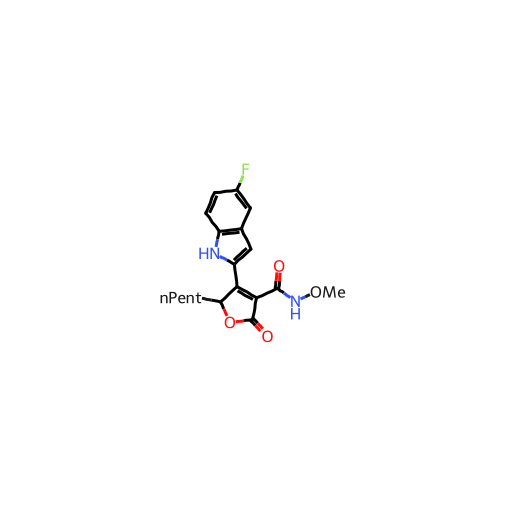 CCCCCC1OC(=O)C(C(=O)NOC)=C1c1cc2cc(F)ccc2[nH]1